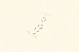 N#CC(C#N)=Cc1ccc2cc(-c3ccc(N)cc3)ccc2c1